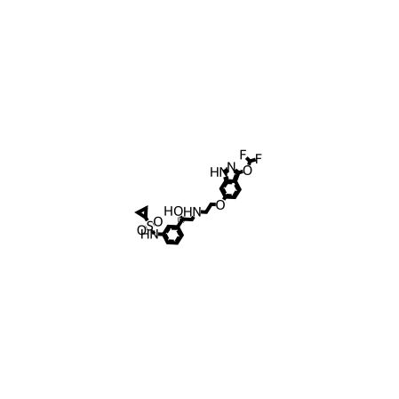 O=S(=O)(Nc1cccc([C@@H](O)CNCCOc2ccc3c(OC(F)F)n[nH]c3c2)c1)C1CC1